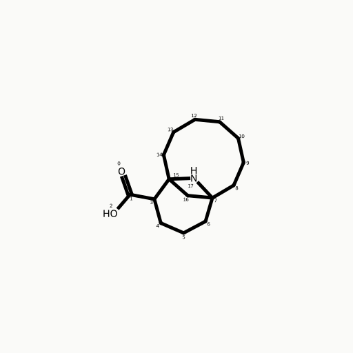 O=C(O)C1CCCC23CCCCCCCC1(C2)N3